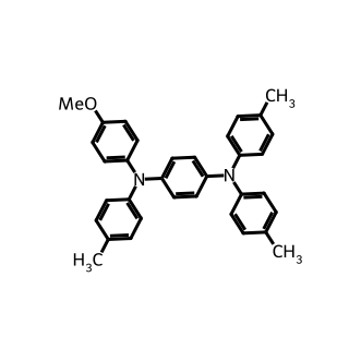 COc1ccc(N(c2ccc(C)cc2)c2ccc(N(c3ccc(C)cc3)c3ccc(C)cc3)cc2)cc1